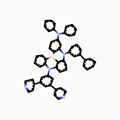 c1ccc(-c2cccc(N3c4cc(N(c5ccccc5)c5ccccc5)ccc4B4c5ccccc5N(c5cc(-c6ccncc6)cc(-c6ccncc6)c5)c5cccc3c54)c2)cc1